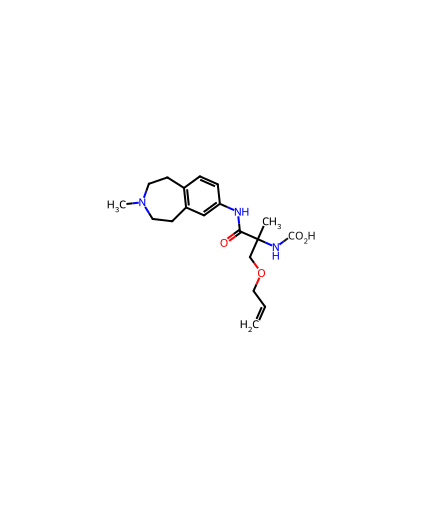 C=CCOCC(C)(NC(=O)O)C(=O)Nc1ccc2c(c1)CCN(C)CC2